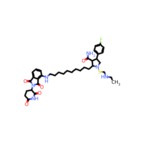 CCNCSN1CC(c2ccc(F)cc2)C(C(N)=O)C1CCCCCCCCCCNc1cccc2c1C(=O)N(C1CCC(=O)NC1=O)C2=O